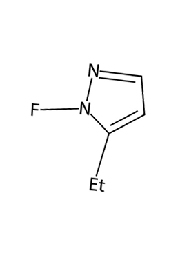 CCc1ccnn1F